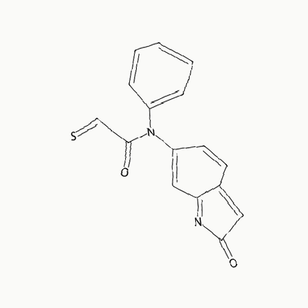 O=C1C=c2ccc(N(C(=O)C=S)c3ccccc3)cc2=N1